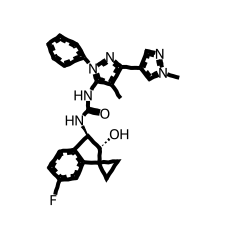 Cc1c(-c2cnn(C)c2)nn(-c2ccccc2)c1NC(=O)N[C@@H]1c2ccc(F)cc2C2(CC2)[C@H]1O